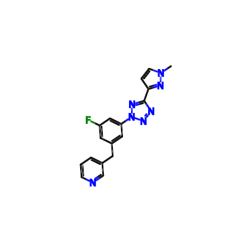 Cn1ccc(-c2nnn(-c3cc(F)cc(Cc4cccnc4)c3)n2)n1